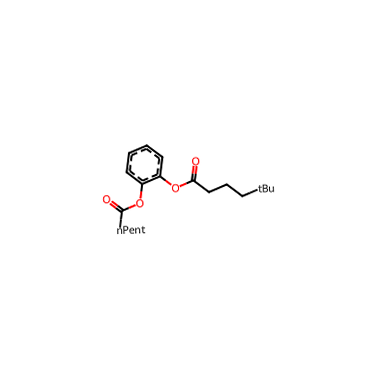 CCCCCC(=O)Oc1ccccc1OC(=O)CCCC(C)(C)C